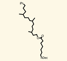 CCCCCCCCCCCCCCCCC(=O)OCCC(C)CCCC(C)CCCC(C)CCCC(C)C